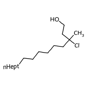 CCCCCCCCCCCCCC(C)(Cl)CCO